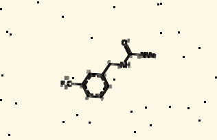 CNC(=O)NCc1cccc(C(F)(F)F)c1